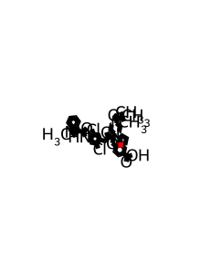 Cn1cc(C(=O)Nc2cc(Cl)c(CC(=O)C(OC3CCC(C(=O)O)CC3)(N3CCCC3)N3CCN(C(=O)C(C)(C)C)CC3)cc2Cl)c2ccccc21